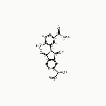 COC(=O)c1ccc2c(c1)C(=O)N(c1cc(C(=O)OC)ccc1C)C2=O